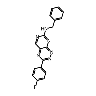 Fc1ccc(-c2nnc3nc(NCc4ccccc4)ncc3n2)cc1